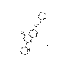 O=c1nc(-c2ccccn2)sc2ccc(OCc3ccccc3)cc12